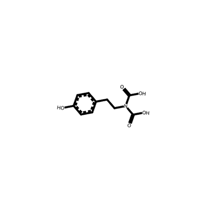 O=C(O)N(CCc1ccc(O)cc1)C(=O)O